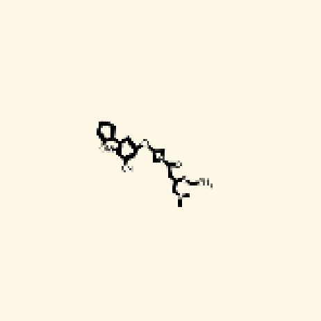 COc1ccccc1-c1cc(C#N)cc(OC2CN(C(=O)CC(CN(C)C)SCP)C2)c1